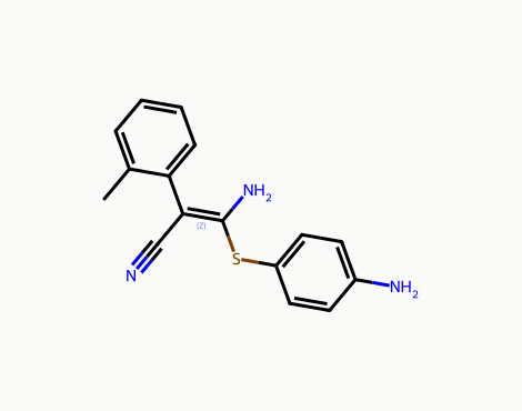 Cc1ccccc1/C(C#N)=C(\N)Sc1ccc(N)cc1